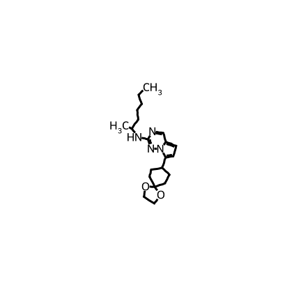 CCCCCC(C)Nc1ncc2ccc(C3CCC4(CC3)OCCO4)n2n1